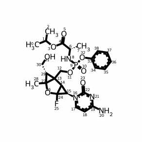 CC(C)OC(=O)[C@H](C)NP(=O)(OCC12C3[C@@H](n4ccc(N)nc4=O)C3(F)OC1(C)[C@@H]2CO)Oc1ccccc1